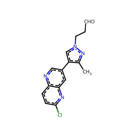 Cc1nn(CCC=O)cc1-c1cnc2ccc(Cl)nc2c1